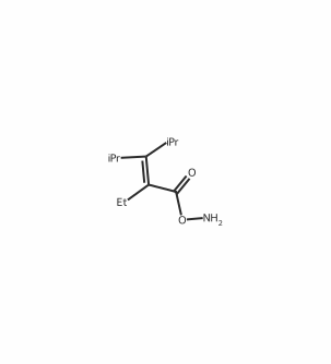 CCC(C(=O)ON)=C(C(C)C)C(C)C